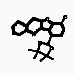 CC1(C)OB(c2ccc(Cl)c3oc4cc5ccccc5nc4c23)OC1(C)C